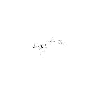 Cc1ccc(-c2ccc3c(N4CCOCC4)nc(-c4ccc(NC(=O)Nc5ccc(N6CCCC6=O)cc5)cc4)nc3c2)o1